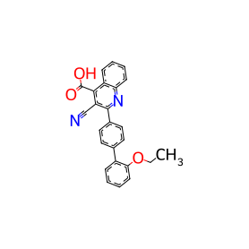 CCOc1ccccc1-c1ccc(-c2nc3ccccc3c(C(=O)O)c2C#N)cc1